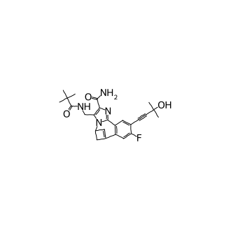 CC(C)(O)C#Cc1cc2c(cc1F)C1=CC(C1)n1c-2nc(C(N)=O)c1CNC(=O)C(C)(C)C